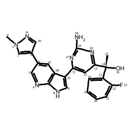 Cn1cc(-c2cnc3[nH]cc(-c4cc([C@](C)(O)c5ccccc5F)nc(N)n4)c3c2)cn1